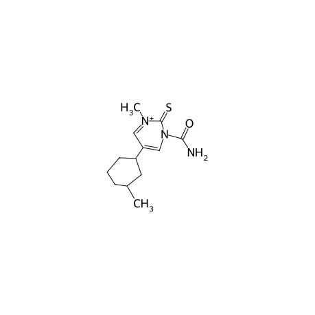 CC1CCCC(c2cn(C(N)=O)c(=S)[n+](C)c2)C1